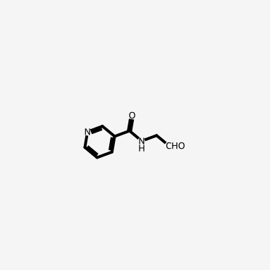 O=CCNC(=O)c1cccnc1